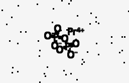 O=P([O-])([O-])OP(=O)([O-])[O-].[Pr+4]